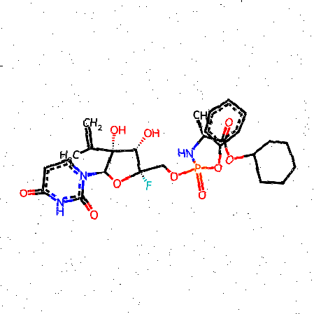 C=C(C)[C@]1(O)[C@H](n2ccc(=O)[nH]c2=O)O[C@](F)(COP(=O)(N[C@@H](C)C(=O)OC2CCCCC2)Oc2ccccc2)[C@H]1O